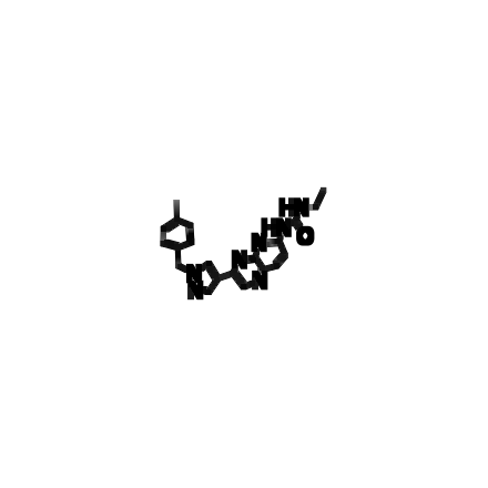 CCNC(=O)Nc1ccc2ncc(-c3cnn(Cc4ccc(C)cc4)c3)nc2n1